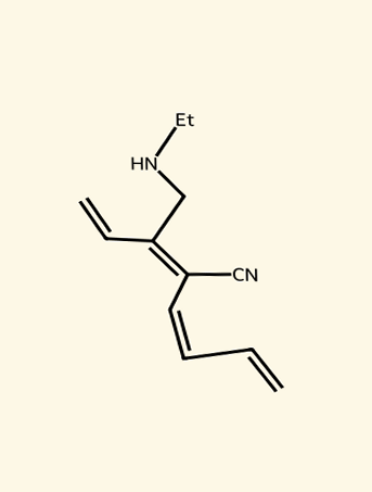 C=C/C=C\C(C#N)=C(/C=C)CNCC